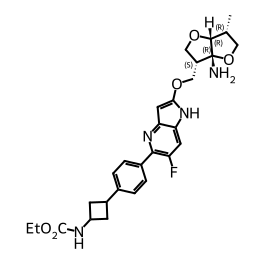 CCOC(=O)NC1CC(c2ccc(-c3nc4cc(OC[C@@H]5CO[C@@H]6[C@H](C)CO[C@]56N)[nH]c4cc3F)cc2)C1